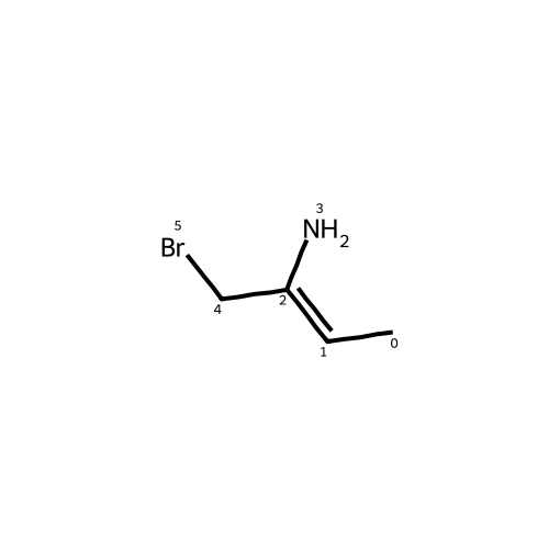 CC=C(N)CBr